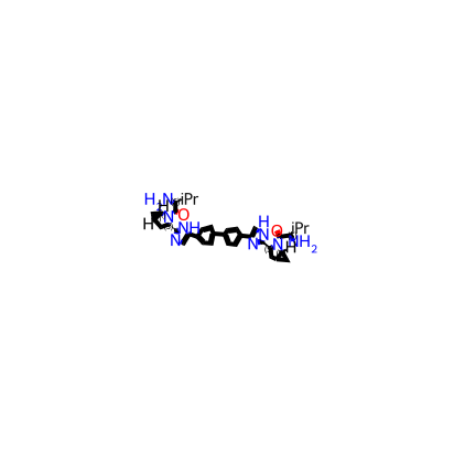 CC(C)[C@H](N)C(=O)N1[C@@H]2CC2C[C@H]1c1nc(-c2ccc(-c3ccc(-c4cnc([C@@H]5C[C@H]6C[C@H]6N5C(=O)[C@@H](N)C(C)C)[nH]4)cc3)cc2)c[nH]1